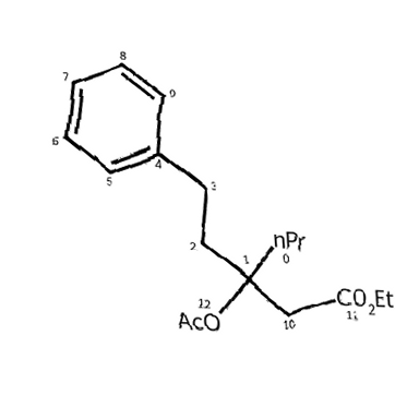 CCCC(CCc1ccccc1)(CC(=O)OCC)OC(C)=O